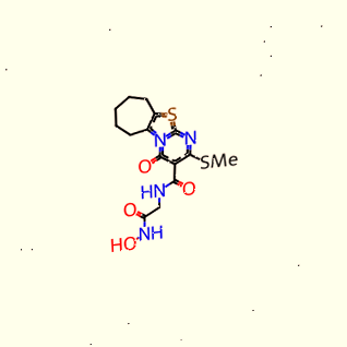 CSc1nc2sc3c(n2c(=O)c1C(=O)NCC(=O)NO)CCCCC3